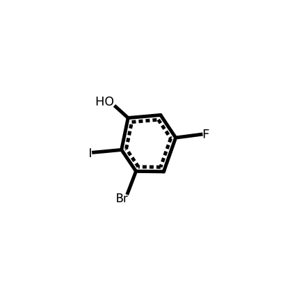 Oc1cc(F)cc(Br)c1I